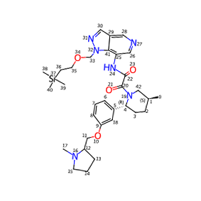 C[C@H]1CC[C@H](c2cccc(OCC3CCCN3C)c2)N(C(=O)C(=O)Nc2cncc3cnn(COCC[Si](C)(C)C)c23)C1